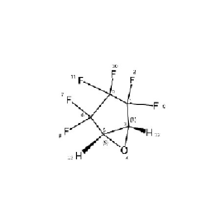 FC1(F)[C@@H]2O[C@@H]2C(F)(F)C1(F)F